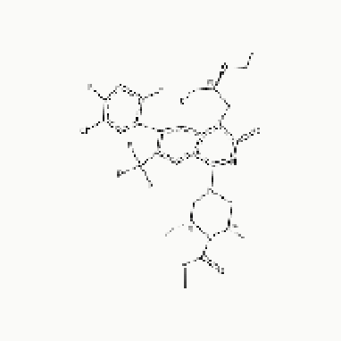 C=CC(=O)N1[C@H](C)CN(c2nc(=O)n3c4c(c(-c5cc(Cl)c(F)cc5F)c(C(F)(F)F)cc24)SC[C@@H](OCC)C3)C[C@@H]1C